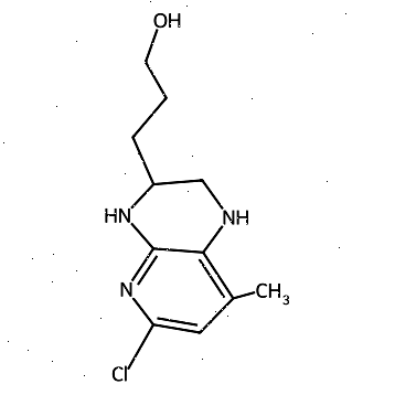 Cc1cc(Cl)nc2c1NCC(CCCO)N2